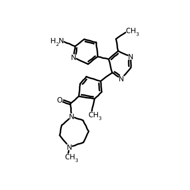 CCc1ncnc(-c2ccc(C(=O)N3CCCN(C)CC3)c(C)c2)c1-c1ccc(N)nc1